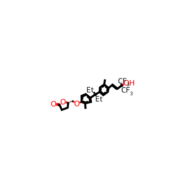 CCC(CC)(c1ccc(C=CC(O)(C(F)(F)F)C(F)(F)F)c(C)c1)c1ccc(OC[C@@H]2CCC(=O)O2)c(C)c1